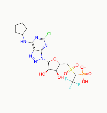 O=P(O)(O)C(C(F)(F)F)S(=O)(=O)C[C@H]1O[C@@H](n2nnc3c(NC4CCCC4)nc(Cl)nc32)[C@H](O)[C@@H]1O